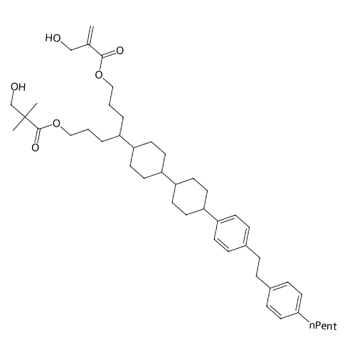 C=C(CO)C(=O)OCCCC(CCCOC(=O)C(C)(C)CO)C1CCC(C2CCC(c3ccc(CCc4ccc(CCCCC)cc4)cc3)CC2)CC1